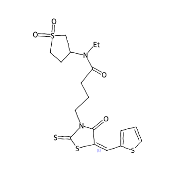 CCN(C(=O)CCCN1C(=O)/C(=C\c2cccs2)SC1=S)C1CCS(=O)(=O)C1